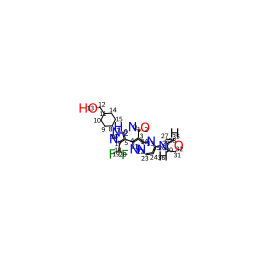 NC(=O)c1c(-c2cn(C3CCC(CO)CC3)nc2C(F)F)nn2ccc(N3C[C@H]4C[C@@H]3CO4)nc12